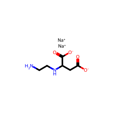 NCCNC(CC(=O)[O-])C(=O)[O-].[Na+].[Na+]